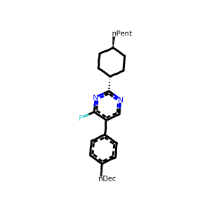 CCCCCCCCCCc1ccc(-c2cnc([C@H]3CC[C@H](CCCCC)CC3)nc2F)cc1